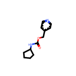 O=C(NC1CCCC1)OCc1ccncc1